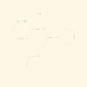 I.c1ccc(NC(=[N+]=C2CCCN2)N2CCCC2)cc1